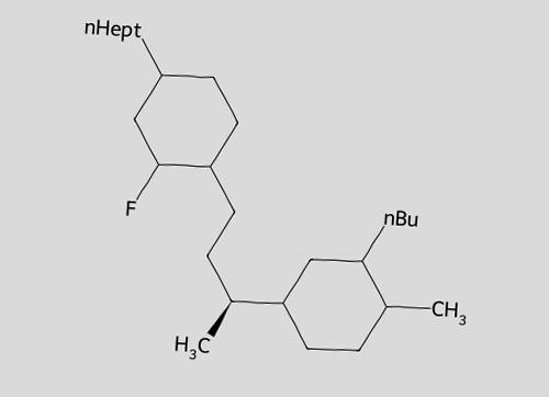 CCCCCCCC1CCC(CC[C@H](C)C2CCC(C)C(CCCC)C2)C(F)C1